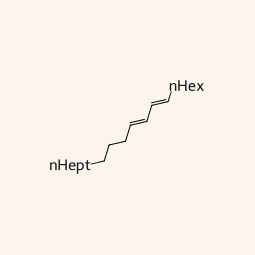 CCCCCCC=CC=CCCCCCCCCCC